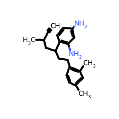 C#CC(C)CC(CCc1ccc(C)cc1C)c1ccc(N)cc1N